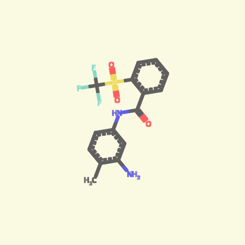 Cc1ccc(NC(=O)c2ccccc2S(=O)(=O)C(F)(F)F)cc1N